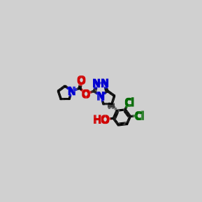 O=C(Oc1nnc2n1C[C@@H](c1c(O)ccc(Cl)c1Cl)C2)N1CCCC1